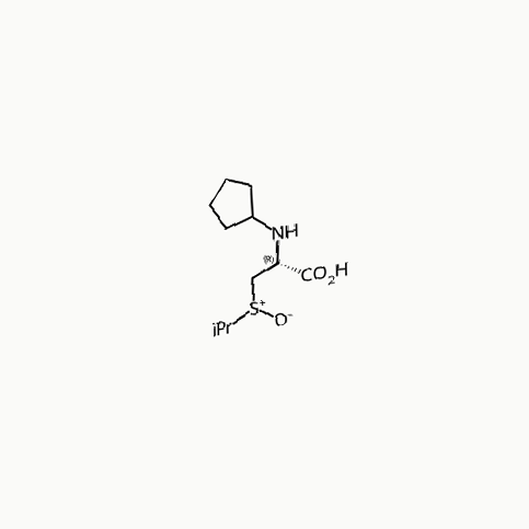 CC(C)[S+]([O-])C[C@H](NC1CCCC1)C(=O)O